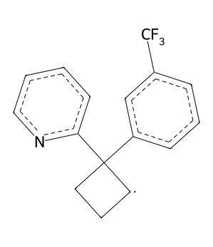 FC(F)(F)c1cccc(C2(c3ccccn3)[CH]CC2)c1